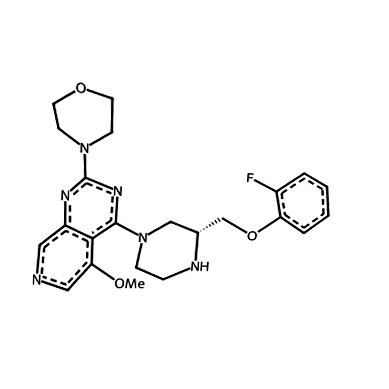 COc1cncc2nc(N3CCOCC3)nc(N3CCN[C@@H](COc4ccccc4F)C3)c12